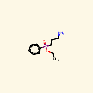 CCOP(=O)(CCCN)c1ccccc1